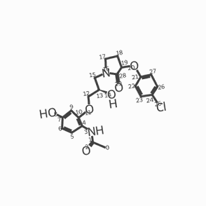 CC(=O)Nc1ccc(O)cc1OC[C@H](O)CN1CCC(Oc2ccc(Cl)cc2)C1=O